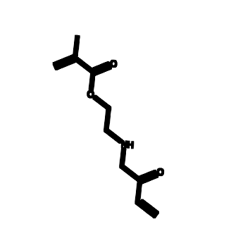 C=CC(=O)CNCCOC(=O)C(=C)C